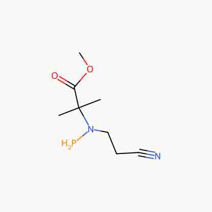 COC(=O)C(C)(C)N(P)CCC#N